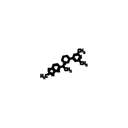 Cc1cc(C2CCCN(C(C)c3ccc4sc(C)nc4n3)C2)cc(C)n1